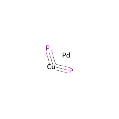 [P]#[Cu]#[P].[Pd]